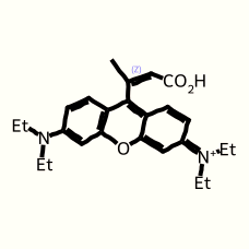 CCN(CC)c1ccc2c(/C(C)=C\C(=O)O)c3ccc(=[N+](CC)CC)cc-3oc2c1